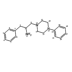 NC(Cc1ccccc1)CN1CCN(c2ccccc2)CC1